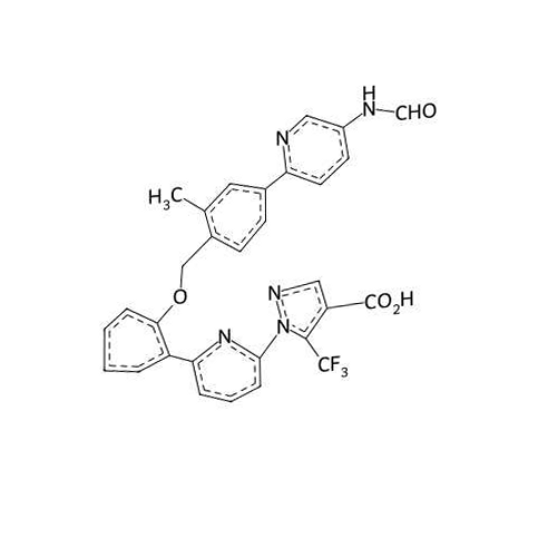 Cc1cc(-c2ccc(NC=O)cn2)ccc1COc1ccccc1-c1cccc(-n2ncc(C(=O)O)c2C(F)(F)F)n1